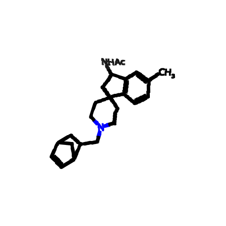 CC(=O)NC1CC2(CCN(CC3CC4C=CC3C4)CC2)c2ccc(C)cc21